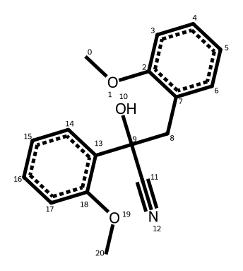 COc1ccccc1CC(O)(C#N)c1ccccc1OC